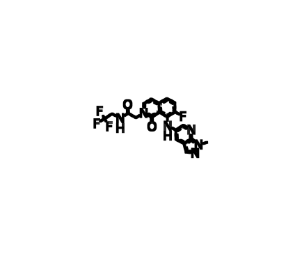 Cn1ncc2cc(Nc3c(F)ccc4ccn(CC(=O)NCC(F)(F)F)c(=O)c34)cnc21